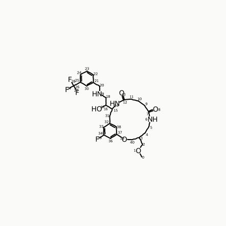 COCC1CCNC(=O)CCCC(=O)NC(C(O)CNCc2cccc(C(F)(F)F)c2)Cc2cc(F)cc(c2)OC1